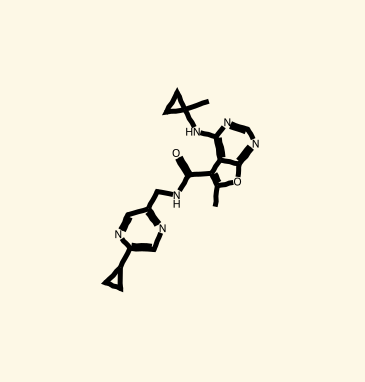 Cc1oc2ncnc(NC3(C)CC3)c2c1C(=O)NCc1cnc(C2CC2)cn1